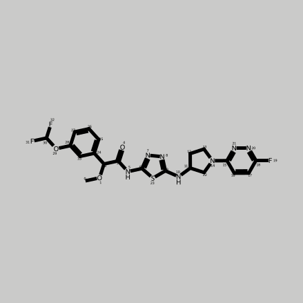 COC(C(=O)Nc1nnc(NC2CCN(c3ccc(F)nn3)C2)s1)c1cccc(OC(F)F)c1